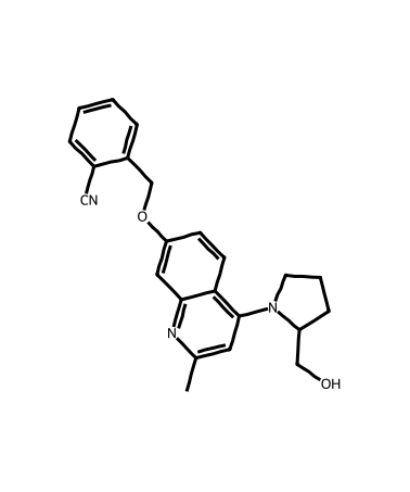 Cc1cc(N2CCCC2CO)c2ccc(OCc3ccccc3C#N)cc2n1